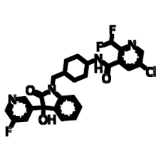 O=C(NC1CCC(CN2C(=O)C(O)(c3cncc(F)c3)c3ccccc32)CC1)c1cc(Cl)cnc1C(F)F